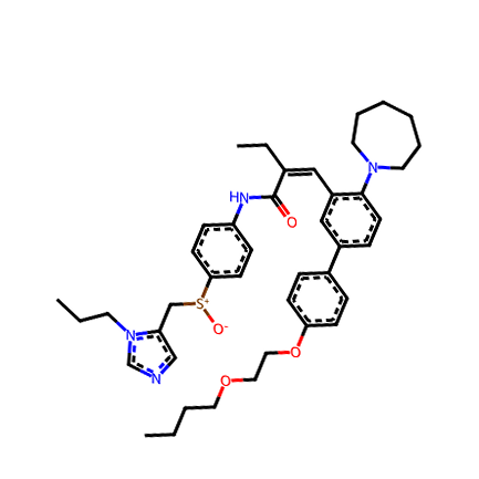 CCCCOCCOc1ccc(-c2ccc(N3CCCCCC3)c(C=C(CC)C(=O)Nc3ccc([S+]([O-])Cc4cncn4CCC)cc3)c2)cc1